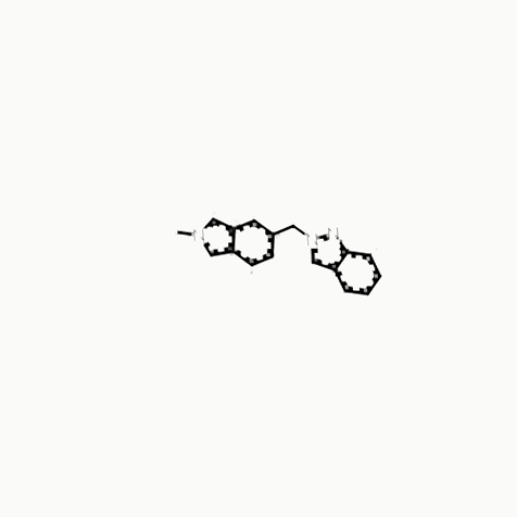 Cn1cc2ccc(Cn3cc4ccccc4n3)cc2c1